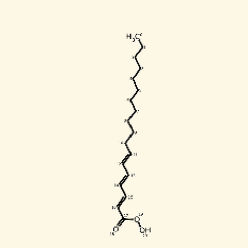 CCCCCCCCCCCC=CC=CC=CC(=O)OO